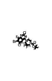 CC(C)(C)OC(=O)N1CCN(c2nc(Cl)nc3c(F)c(Br)c(Cl)cc23)CC(F)(F)C1